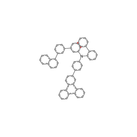 c1ccc(-c2ccccc2N(c2ccc(-c3ccc4c5ccccc5c5ccccc5c4c3)cc2)c2cccc(-c3cccc(-c4cccc5ccccc45)c3)c2)cc1